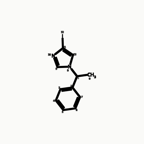 CC(c1ccccc1)n1cnc(I)c1